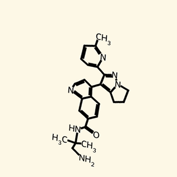 Cc1cccc(-c2nn3c(c2-c2ccnc4cc(C(=O)NC(C)(C)CN)ccc24)CCC3)n1